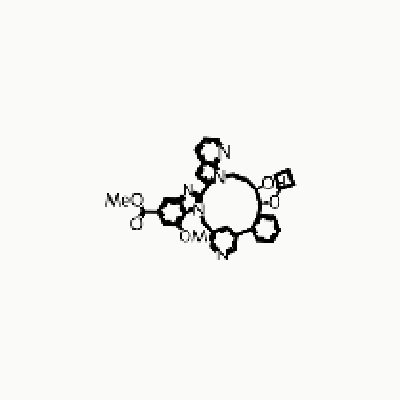 COC(=O)c1cc(OC)c2c(c1)nc1n2Cc2cncc(c2)-c2ccccc2[C@H](OC2CCC2)[C@H](O)CCn2c-1cc1cccnc12